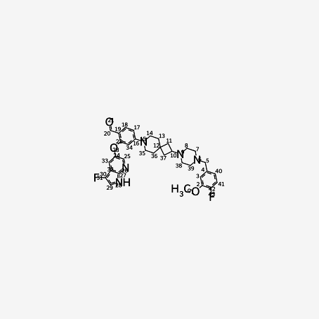 COc1cc(CN2CCN(C3CC4(CCN(c5ccc(C=O)c(Oc6cnc7[nH]cc(F)c7c6)c5)CC4)C3)CC2)ccc1F